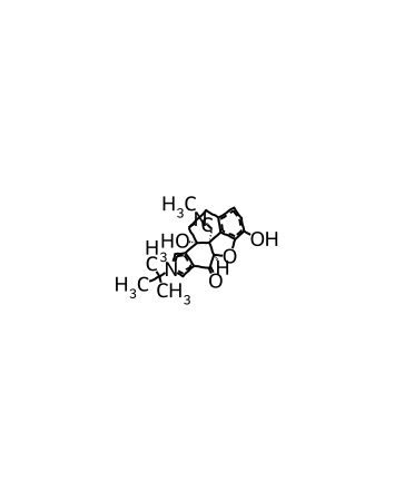 CN1CC[C@]23c4c5ccc(O)c4O[C@H]2C(=O)c2cn(C(C)(C)C)cc2[C@@]3(O)C1C5